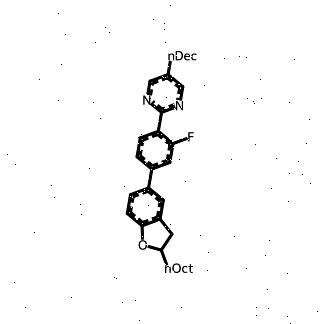 CCCCCCCCCCc1cnc(-c2ccc(-c3ccc4c(c3)CC(CCCCCCCC)O4)cc2F)nc1